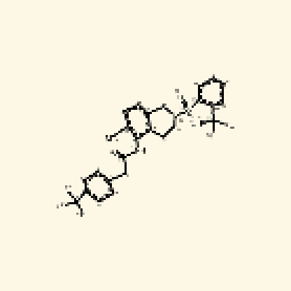 O=C(Cc1ccc(C(F)(F)F)cc1)Nc1c(Cl)ccc2c1CCN(S(=O)(=O)c1ccccc1C(F)(F)F)C2